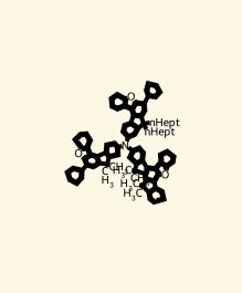 CCCCCCCC1(CCCCCCC)c2cc(N(c3ccc4c(c3)C(C)(C)c3cc(-c5ccccc5)c5oc6ccccc6c5c3-4)c3ccc4c(c3)C(C)(C)c3c5c(c6oc7ccccc7c6c3-4)-c3ccccc3C5(C)C)ccc2-c2c1cc(-c1ccccc1)c1oc3ccccc3c21